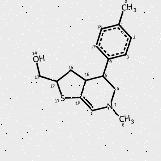 Cc1ccc(C2CN(C)C=C3SC(CO)CC32)cc1